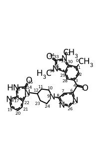 Cc1cc(C(=O)c2cc(N3CCC(n4c(=O)[nH]c5ncccc54)CC3)ncn2)cc2c1n(C)c(=O)n2C